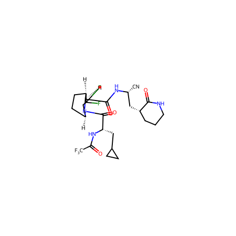 N#C[C@H](C[C@H]1CCCNC1=O)NC(=O)[C@@H]1[C@@H]2CC[C@@H](CC2(F)F)N1C(=O)[C@H](CC1CC1)NC(=O)C(F)(F)F